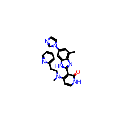 Cc1cc(-n2ccnc2)cc2[nH]c(-c3c(N(C)CCc4ccccn4)cc[nH]c3=O)nc12